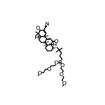 COCCOCCOB(CCCC(C)(C)C[C@@H]1CCC[C@]2(C)[C@@H]1C(=O)C=C1[C@@]3(C)C=C(C#N)C(=O)C(C)(C)[C@@H]3CC[C@]12C)OCCOCCOC